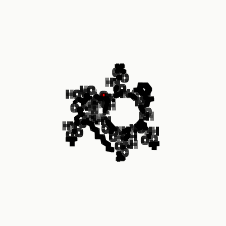 CCCCCCCC[C@H](N)C(=O)N[C@@H](CCNC(=O)OC(C)(C)C)C(=O)N[C@H](C(=O)N[C@H](CO)C(=O)N[C@H]1CCNC(=O)[C@H]([C@@H](C)O)NC(=O)[C@H](CCNC(=O)OC(C)(C)C)NC(=O)[C@H](CCNC(=O)OC(C)(C)C)NC(=O)[C@H](CC(C)C)NC(O)[C@@H](Cc2ccccc2)NC(=O)[C@H](CCNC(=O)OC(C)(C)C)NC1=O)[C@@H](C)O